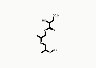 CCCOC(C)COC(C)COC(=O)C(O)CC(=O)O